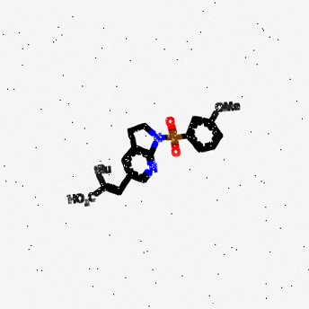 COc1cccc(S(=O)(=O)N2CCc3cc(C=C(C(=O)O)C(C)(C)C)cnc32)c1